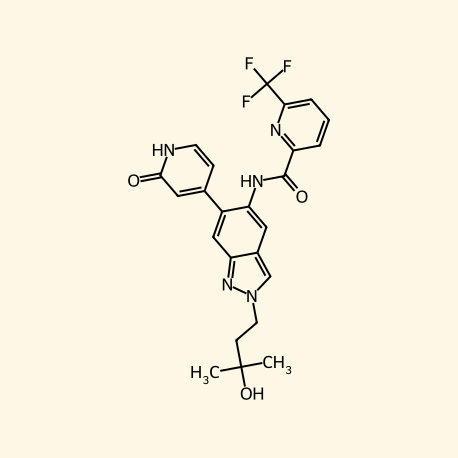 CC(C)(O)CCn1cc2cc(NC(=O)c3cccc(C(F)(F)F)n3)c(-c3cc[nH]c(=O)c3)cc2n1